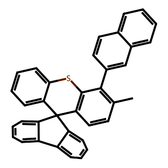 Cc1ccc2c(c1-c1ccc3ccccc3c1)Sc1ccccc1C21c2ccccc2-c2ccccc21